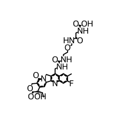 CC[C@@]1(O)C(=O)OCc2c1cc1n(c2=O)Cc2c-1nc1cc(F)c(C)cc1c2CNC(=O)NCCOCNC(=O)CNC(=O)O